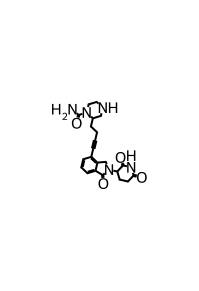 NC(=O)N1CCNCC1CCC#Cc1cccc2c1CN(C1CCC(=O)NC1=O)C2=O